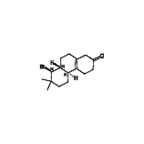 CC[C@H]1[C@@H]2CCC3=C(CCC(=O)C3)[C@H]2CCC1(C)C